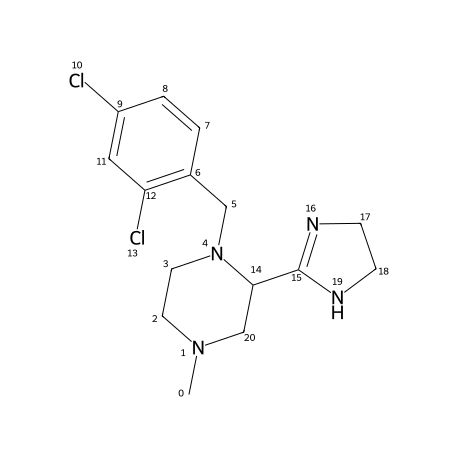 CN1CCN(Cc2ccc(Cl)cc2Cl)C(C2=NCCN2)C1